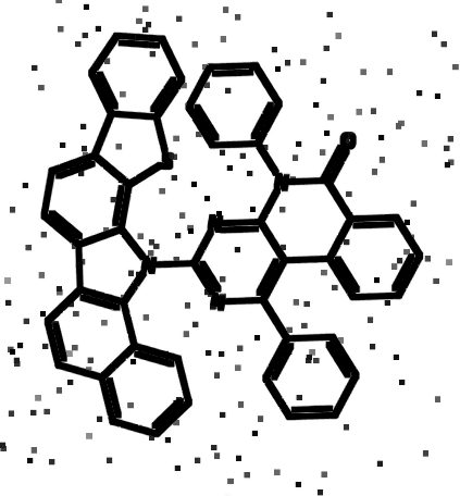 O=c1c2ccccc2c2c(-c3ccccc3)nc(-n3c4c5ccccc5ccc4c4ccc5c6ccccc6sc5c43)nc2n1-c1ccccc1